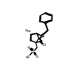 CC1(C)C2CCC1(CS(=O)(=O)O)C(=O)C2=Cc1ccccc1.[Na]